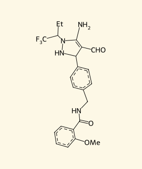 CCC(N1NC(c2ccc(CNC(=O)c3ccccc3OC)cc2)C(C=O)=C1N)C(F)(F)F